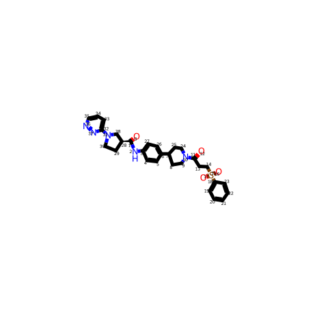 O=C(Nc1ccc(C2CCN(C(=O)CCS(=O)(=O)c3ccccc3)CC2)cc1)[C@H]1CCN(c2cccnn2)C1